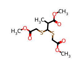 COC(=O)CSC(SCC(=O)OC)C(C)C(=O)OC